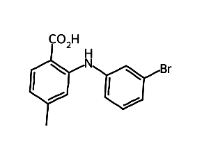 Cc1ccc(C(=O)O)c(Nc2cccc(Br)c2)c1